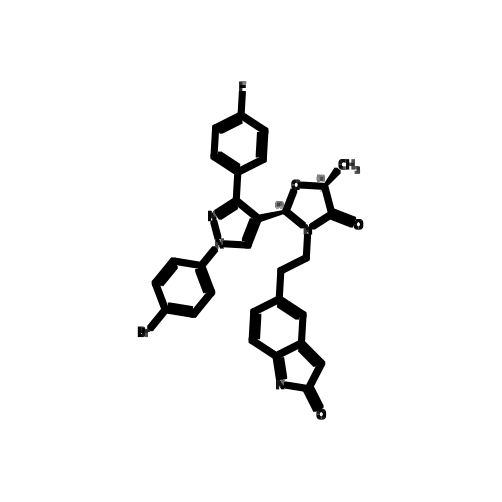 C[C@@H]1O[C@H](c2cn(-c3ccc(Br)cc3)nc2-c2ccc(F)cc2)N(CCc2ccc3c(c2)=CC(=O)N=3)C1=O